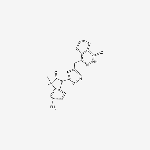 CC1(C)C(=O)N(c2cncc(Cc3n[nH]c(=O)c4ccccc34)c2)c2ccc(P)cc21